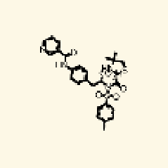 Cc1ccc(S(=O)(=O)N(C(=O)[C@H]2NC(C)(C)CS2)[C@@H](Cc2ccc(NC(=O)c3cccnc3)cc2)C(=O)O)cc1